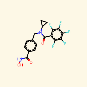 O=C(NO)c1ccc(CN(C(=O)c2c(F)c(F)c(F)c(F)c2F)C2CC2)cc1